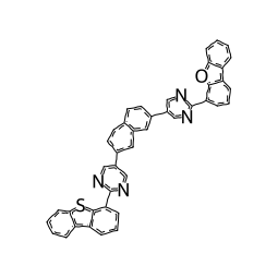 c1ccc2c(c1)oc1c(-c3ncc(-c4ccc5ccc(-c6cnc(-c7cccc8c7sc7ccccc78)nc6)cc5c4)cn3)cccc12